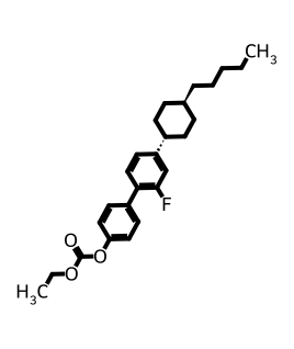 CCCCC[C@H]1CC[C@H](c2ccc(-c3ccc(OC(=O)OCC)cc3)c(F)c2)CC1